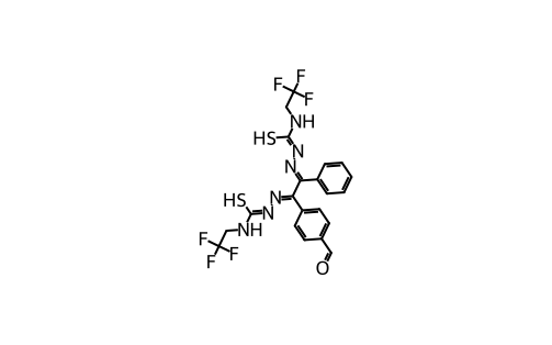 O=Cc1ccc(C(=N\N=C(/S)NCC(F)(F)F)/C(=N/N=C(\S)NCC(F)(F)F)c2ccccc2)cc1